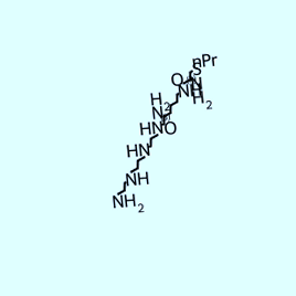 [CH2][CH]CSC[C@H](N)C(=O)NCCCC[C@H](N)C(=O)NCCCNCCCCNCCCN